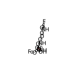 O=C(CCN(C1(C(=O)NO)CCCC1)S(=O)(=O)c1ccc(Oc2ccc(F)cc2)cc1)NCCOCCOCCOCCNC(=O)CSCCCF